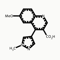 COc1ccc2ncc(C(=O)O)c(-c3cnn(C)c3)c2c1